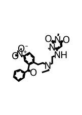 CCN(CCNc1cc(=O)n(C)c(=O)n1C)CCc1ccc([N+](=O)[O-])cc1C(=O)c1ccccc1